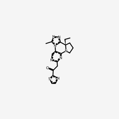 CC[C@@]12CCCN1c1nc(CC(=O)c3nccs3)ncc1-n1c(C)nnc12